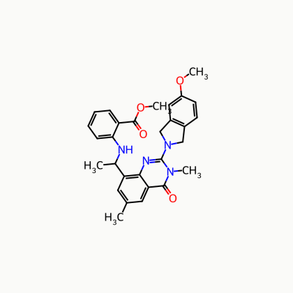 COC(=O)c1ccccc1NC(C)c1cc(C)cc2c(=O)n(C)c(N3Cc4ccc(OC)cc4C3)nc12